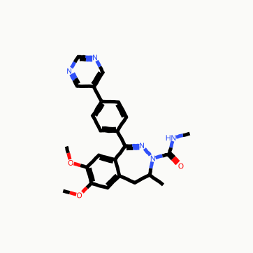 CNC(=O)N1N=C(c2ccc(-c3cncnc3)cc2)c2cc(OC)c(OC)cc2CC1C